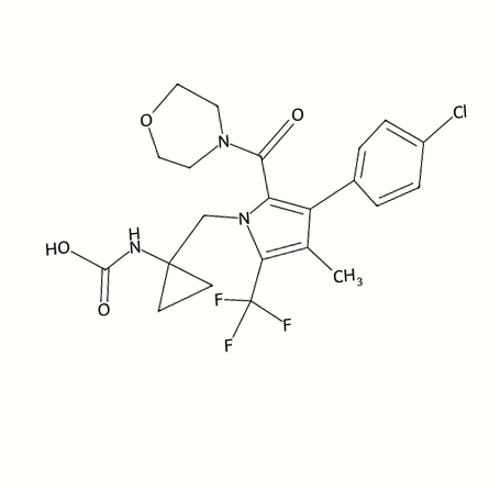 Cc1c(-c2ccc(Cl)cc2)c(C(=O)N2CCOCC2)n(CC2(NC(=O)O)CC2)c1C(F)(F)F